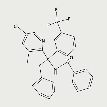 Cc1cc(Cl)cnc1C(Cc1ccccc1)(NC(=O)c1ccccc1)c1cccc(C(F)(F)F)c1